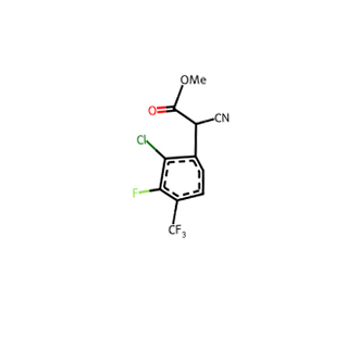 COC(=O)C(C#N)c1ccc(C(F)(F)F)c(F)c1Cl